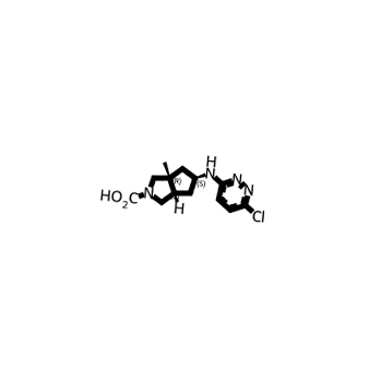 C[C@@]12C[C@@H](Nc3ccc(Cl)nn3)C[C@@H]1CN(C(=O)O)C2